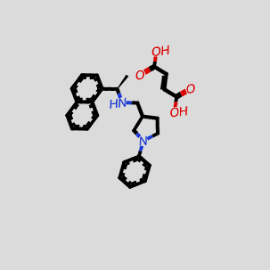 C[C@@H](NCC1CCN(c2ccccc2)C1)c1cccc2ccccc12.O=C(O)/C=C/C(=O)O